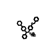 Cl.Cl.O.c1ccc(COc2ccc(CC(c3ccccc3)N3CCN(C4CCCCC4)CC3)cc2)cc1